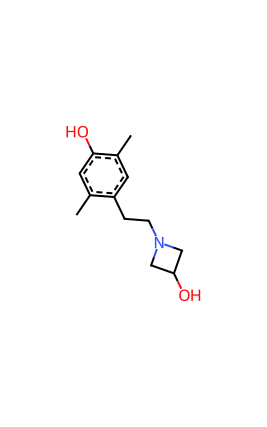 Cc1cc(CCN2CC(O)C2)c(C)cc1O